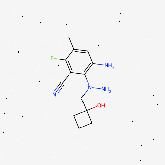 Cc1cc(N)c(N(N)CC2(O)CCC2)c(C#N)c1F